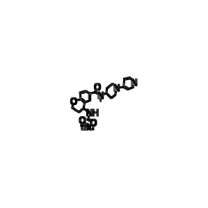 CN(C(=O)c1ccc2c(c1)C(NC(=O)OC(C)(C)C)CCO2)C1CCN(c2ccncc2)CC1